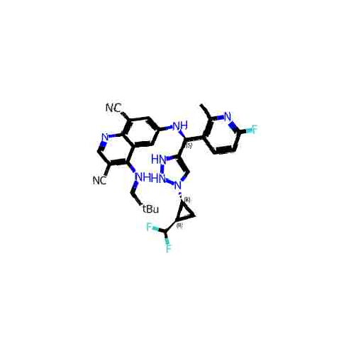 Cc1nc(F)ccc1[C@H](Nc1cc(C#N)c2ncc(C#N)c(NCC(C)(C)C)c2c1)C1=CN([C@@H]2C[C@H]2C(F)F)NN1